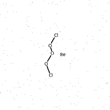 ClOOOCl.[Re]